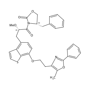 CO[C@@H](Cc1ccc(OCCc2nc(-c3ccccc3)oc2C)c2sccc12)C(=O)N1C(=O)OC[C@@H]1Cc1ccccc1